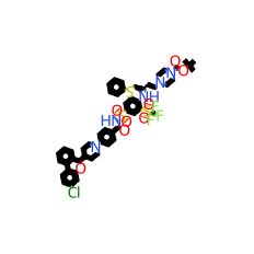 CC(C)(C)OC(=O)N1CCN(CC[C@H](CSc2ccccc2)Nc2ccc(S(=O)(=O)NC(=O)c3ccc(N4CCC(C(=O)c5ccccc5-c5ccc(Cl)cc5)CC4)cc3)cc2S(=O)(=O)C(F)(F)F)CC1